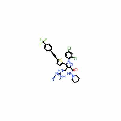 CN/C(=N\C#N)NCc1c(C(=O)NN2CCCCC2)nn(-c2ccc(Cl)cc2Cl)c1-c1ccc(C#Cc2ccc(C(F)(F)F)cc2)s1